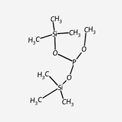 COP(O[Si](C)(C)C)O[Si](C)(C)C